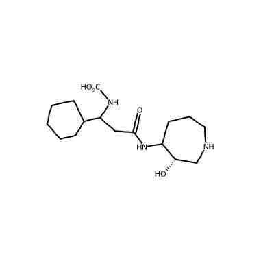 O=C(O)NC(CC(=O)NC1CCCNC[C@@H]1O)C1CCCCC1